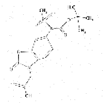 CC(C)(C)OC(=O)N(c1ccc2c(c1)oc(=O)n2CC(=O)O)S(C)(=O)=O